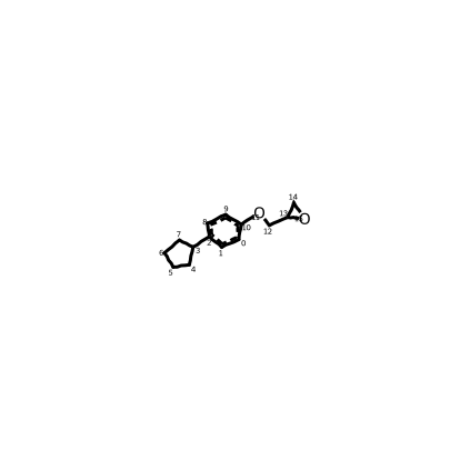 c1cc(C2CCCC2)ccc1OCC1CO1